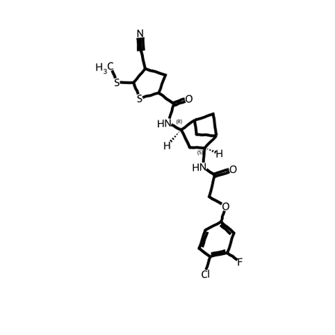 CSC1SC(C(=O)N[C@@H]2C[C@H](NC(=O)COc3ccc(Cl)c(F)c3)C3CC2C3)CC1C#N